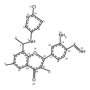 Cc1cc(C(C)Nc2ccc(Cl)nc2)c2oc(-c3ccc(C=N)c(N)c3)c(C)c(=O)c2c1